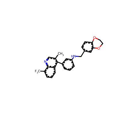 Cc1cnc2c(C(F)(F)F)cccc2c1-c1cccc(NCc2ccc3c(c2)OCCO3)c1